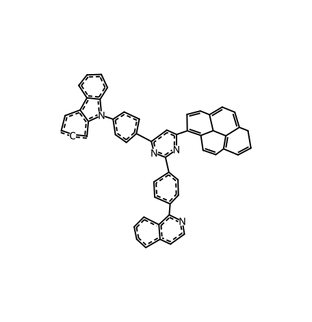 C1=CC2=C3C(=CC=C4C=CC(c5cc(-c6ccc(-n7c8ccccc8c8ccccc87)cc6)nc(-c6ccc(-c7nccc8ccccc78)cc6)n5)=C(C=C2)C43)C1